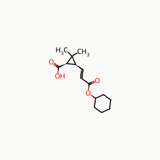 CC1(C)[C@H](C(=O)O)[C@@H]1C=CC(=O)OC1CCCCC1